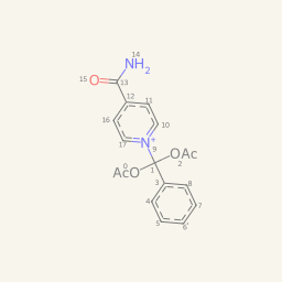 CC(=O)OC(OC(C)=O)(c1cc[c]cc1)[n+]1ccc(C(N)=O)cc1